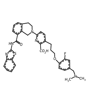 CN(C)Cc1ccc(OCCCc2ccc(N3CCc4cccc(C(=O)Nc5nc6ccccc6s5)c4C3)nc2C(=O)O)c(F)c1